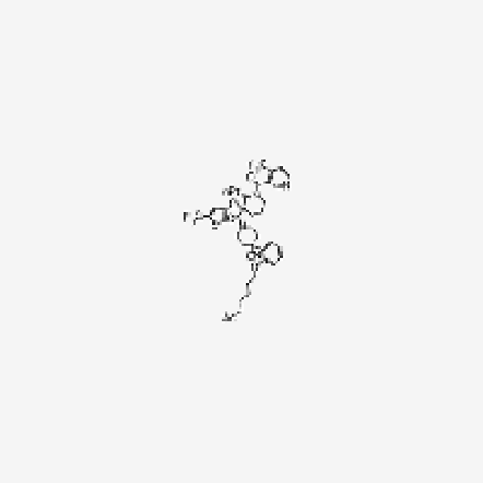 CCC[C@H]1N(C(=O)c2cnccc2C(F)(F)F)CCC[C@@]1(Oc1csc(C(F)(F)F)c1)C(=O)N1CCC(C#N)(c2ccccc2OCCCCCC(C)=O)CC1